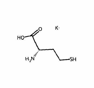 N[C@@H](CCS)C(=O)O.[K]